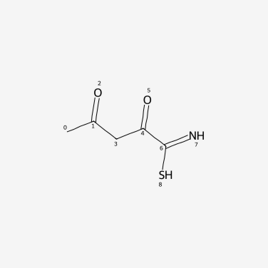 CC(=O)CC(=O)C(=N)S